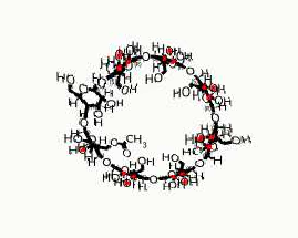 CC(=O)OC[C@H]1O[C@@H]2O[C@H]3[C@H](O)[C@@H](O)[C@@H](O[C@H]4[C@H](O)[C@@H](O)[C@@H](O[C@H]5[C@H](O)[C@@H](O)[C@@H](O[C@H]6[C@H](O)[C@@H](O)[C@@H](O[C@H]7[C@H](O)[C@@H](O)[C@@H](O[C@H]8[C@H](O)[C@@H](O)[C@@H](O[C@H]9[C@H](O)[C@@H](O)[C@@H](O[C@H]1[C@H](O)[C@H]2O)O[C@@H]9CO)O[C@@H]8CO)O[C@@H]7CO)O[C@@H]6CO)O[C@@H]5CO)O[C@@H]4CO)O[C@@H]3CO